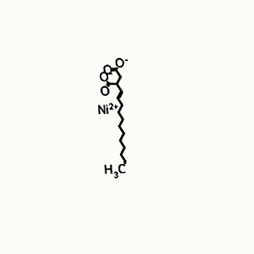 CCCCCCCCCC/C=C/C(CC(=O)[O-])C(=O)[O-].[Ni+2]